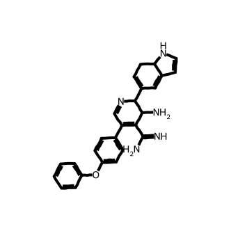 N=C(N)C1=C(c2ccc(Oc3ccccc3)cc2)C=NC(C2=CCC3NC=CC3=C2)C1N